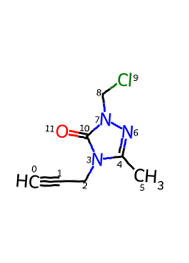 C#CCn1c(C)nn(CCl)c1=O